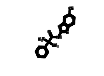 CC(C)(C(=O)Nc1nc2ccc(C#N)cc2s1)c1ccccc1